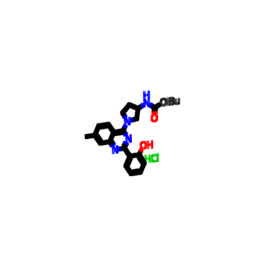 Cc1ccc2c(N3CCC(NC(=O)OCC(C)C)C3)nc(-c3ccccc3O)nc2c1.Cl